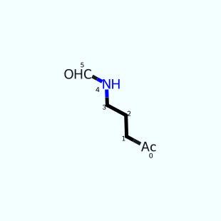 CC(=O)CCCNC=O